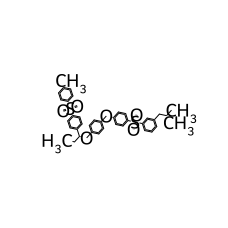 CCC(Oc1ccc(Oc2ccc(S(=O)(=O)c3cccc(CC(C)C)c3)cc2)cc1)c1ccc(S(=O)(=O)c2ccc(C)cc2)cc1